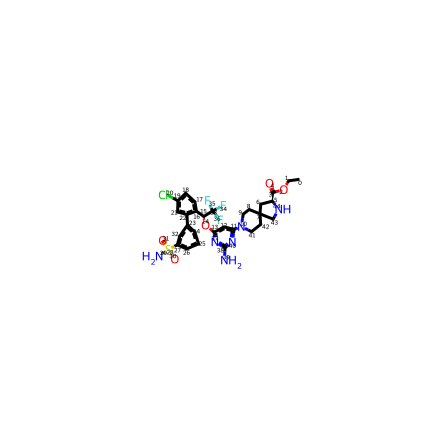 CCOC(=O)[C@@H]1CC2(CCN(c3cc(O[C@H](c4ccc(Cl)cc4-c4cccc(S(N)(=O)=O)c4)C(F)(F)F)nc(N)n3)CC2)CN1